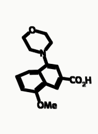 COc1cccc2c(N3CCOCC3)cc(C(=O)O)cc12